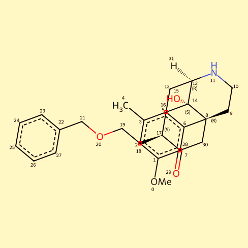 COc1cc(C)c2c(c1)[C@]13CCN[C@H](C2)[C@]1(O)C[C@H](CCOCc1ccccc1)C(=O)C3